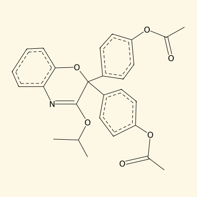 CC(=O)Oc1ccc(C2(c3ccc(OC(C)=O)cc3)Oc3ccccc3N=C2OC(C)C)cc1